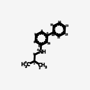 CC(C)CNc1cccc(-c2ccccc2)c1